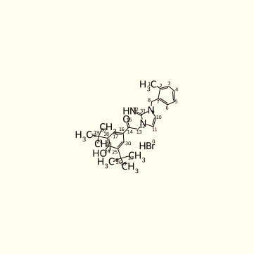 Br.Cc1ccccc1Cn1ccn(CC(=O)c2cc(C(C)(C)C)c(O)c(C(C)(C)C)c2)c1=N